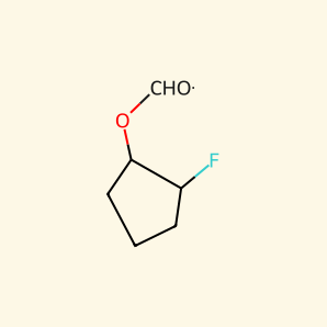 O=[C]OC1CCCC1F